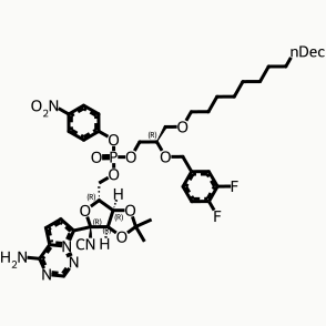 CCCCCCCCCCCCCCCCCCOC[C@H](COP(=O)(OC[C@H]1O[C@@](C#N)(c2ccc3c(N)ncnn23)[C@@H]2OC(C)(C)O[C@@H]21)Oc1ccc([N+](=O)[O-])cc1)OCc1ccc(F)c(F)c1